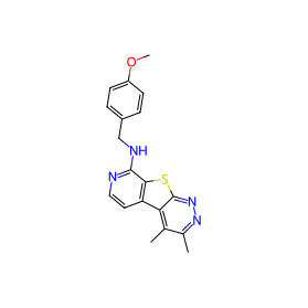 COc1ccc(CNc2nccc3c2sc2nnc(C)c(C)c23)cc1